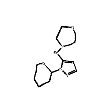 c1c[c]([Sn][N]2CCOCC2)n(C2CCCCO2)n1